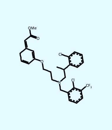 COC(=O)C=C1C=C(OCCCN(Cc2cccc(C(F)(F)F)c2Cl)CC(C)c2ccccc2Cl)C=CC1